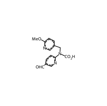 COc1ccc(CN(C(=O)O)c2ccc(C=O)cn2)cn1